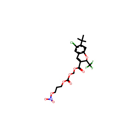 CC(C)(C)c1cc2c(cc1Cl)C=C(C(=O)OCOC(=O)OCCCO[N+](=O)[O-])C(C(F)(F)F)O2